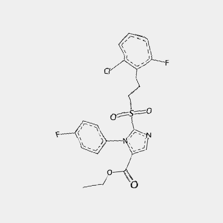 CCOC(=O)c1cnc(S(=O)(=O)CCc2c(F)cccc2Cl)n1-c1ccc(F)cc1